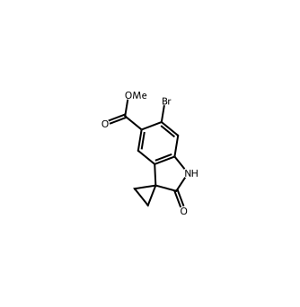 COC(=O)c1cc2c(cc1Br)NC(=O)C21CC1